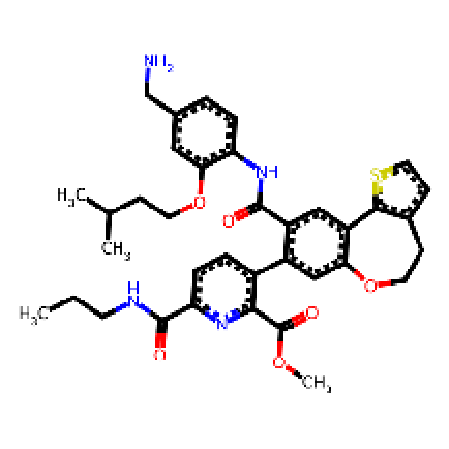 CCCNC(=O)c1ccc(-c2cc3c(cc2C(=O)Nc2ccc(CN)cc2OCCC(C)C)-c2sccc2CCO3)c(C(=O)OC)n1